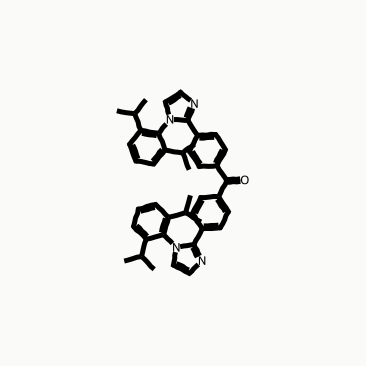 CC(C)c1cccc(C(C)C)c1-n1ccnc1-c1ccc(C(=O)c2ccc(-c3nccn3-c3c(C(C)C)cccc3C(C)C)cc2)cc1